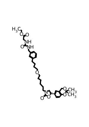 CCOC(=O)CNC(=O)NCc1cccc(CCCCOCCCCCCN2C[C@@H](c3ccc4c(c3)COC(C)(C)O4)OC2=O)c1